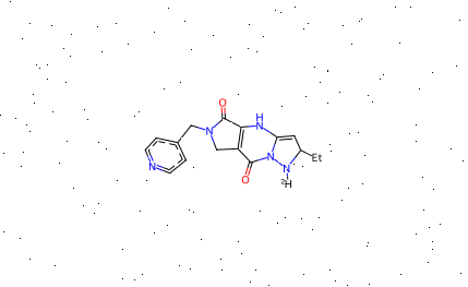 [2H]N1C(CC)C=C2NC3=C(CN(Cc4ccncc4)C3=O)C(=O)N21